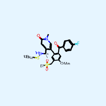 CCS(=O)(=O)Cc1cc(-c2cn(C)c(=O)cc2[C@H](C)NSC(C)(C)C)c(C(=O)c2ccc(F)cc2)cc1OC